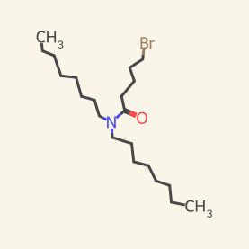 CCCCCCCCN(CCCCCCCC)C(=O)CCCCBr